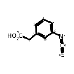 O=C(O)Cc1cccc(N=C=S)c1